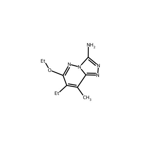 CCOc1nn2c(N)nnc2c(C)c1CC